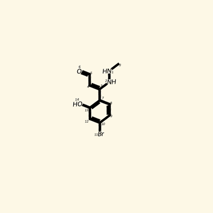 CNN/C(=C\C=O)c1ccc(Br)cc1O